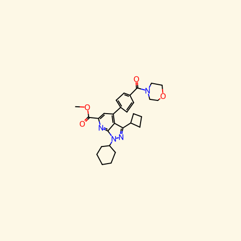 COC(=O)c1cc(-c2ccc(C(=O)N3CCOCC3)cc2)c2c(C3CCC3)nn(C3CCCCC3)c2n1